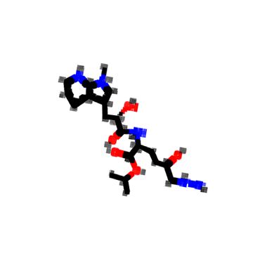 CC(C)OC(=O)[C@H](CCC(=O)C=[N+]=[N-])NC(=O)[C@@H](O)Cc1cn(C)c2ncccc12